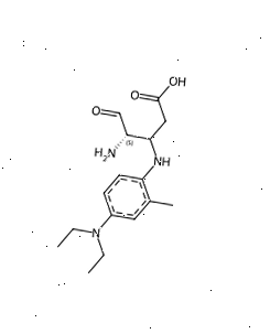 CCN(CC)c1ccc(NC(CC(=O)O)[C@H](N)C=O)c(C)c1